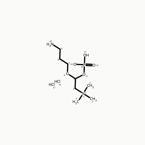 C[N+](C)(C)CC(OCCCN)OP(=O)([O-])O.Cl.Cl